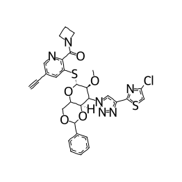 C#Cc1cnc(C(=O)N2CCC2)c(S[C@H]2OC3COC(c4ccccc4)O[C@@H]3C(n3cc(-c4nc(Cl)cs4)nn3)[C@@H]2OC)c1